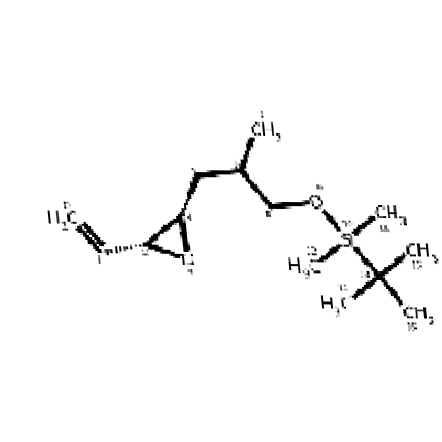 C=C[C@H]1O[C@@H]1CC(C)CO[Si](C)(C)C(C)(C)C